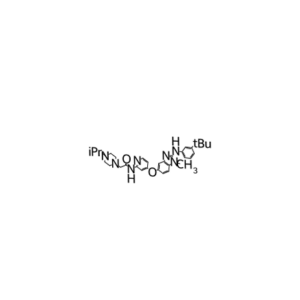 CC(C)N1CCN(CC(=O)Nc2cc(Oc3ccc4c(c3)nc(Nc3cccc(C(C)(C)C)c3)n4C)ccn2)CC1